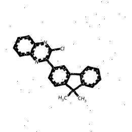 CC1(C)c2ccccc2-c2cc(-c3nc4ccccc4nc3Cl)ccc21